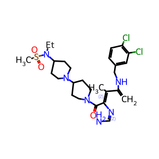 C=C(NCc1ccc(Cl)c(Cl)c1)/C(C)=C(\N=C/N)C(=O)N1CCC(N2CCC(N(CC)S(C)(=O)=O)CC2)CC1